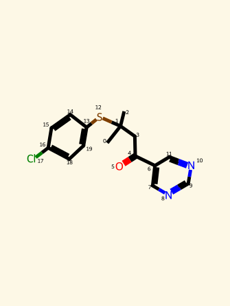 CC(C)(CC(=O)c1cncnc1)Sc1ccc(Cl)cc1